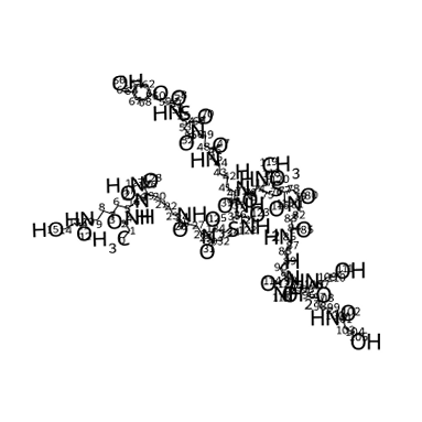 CCC(=O)NC(CCCCNC(=O)CCO)C(=O)NC(CCCCNC(=O)CCN1C(=O)CC(SCC(NC(=O)C(CCCCNC(=O)CCN2C(=O)CC(SNC(=O)COc3ccc(CO)cc3)C2=O)NC(=O)C(CSC2CC(=O)N(CCC(=O)NCCCCC(NC(=O)C(CCCCNC(=O)CCO)NC(=O)CCO)C(N)=O)C2=O)NC(C)=O)C(N)=O)C1=O)C(N)=O